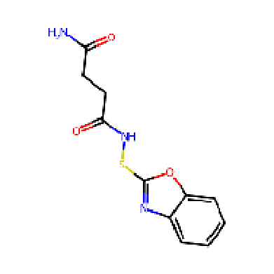 NC(=O)CCC(=O)NSc1nc2ccccc2o1